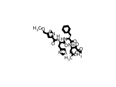 COCc1cc(C(=O)NC(Cc2cscn2)C(=O)N[C@@H](Cc2ccccc2)C(=O)NC(CC(C)C)C(=O)C2(C)CO2)no1